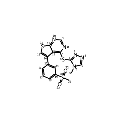 Cn1cnnc1Sc1ncnc2scc(-c3cccc(S(C)(=O)=O)c3)c12